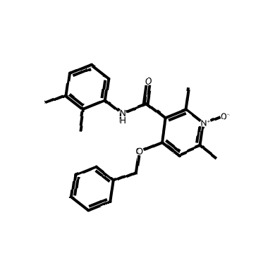 Cc1cccc(NC(=O)c2c(OCc3ccccc3)cc(C)[n+]([O-])c2C)c1C